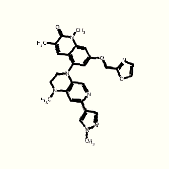 Cc1cc2c(N3CCN(C)c4cc(-c5cnn(C)c5)ncc43)cc(OCc3ncco3)cc2n(C)c1=O